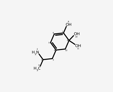 CC(N)CC1=CC=C(O)C(O)(O)C1